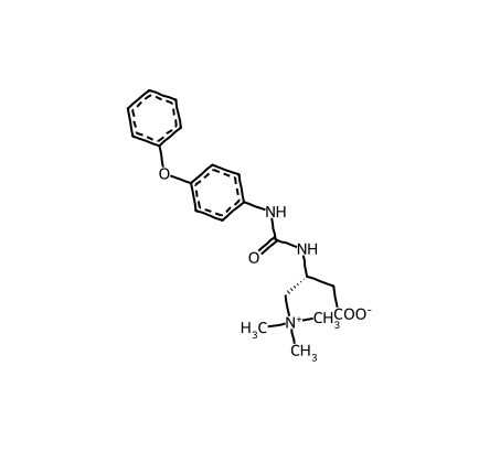 C[N+](C)(C)C[C@@H](CC(=O)[O-])NC(=O)Nc1ccc(Oc2ccccc2)cc1